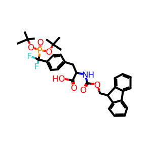 CC(C)(C)OP(=O)(OC(C)(C)C)C(F)(F)c1ccc(CC(NC(=O)OCC2c3ccccc3-c3ccccc32)C(=O)O)cc1